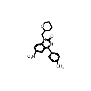 Cc1ccc(-c2nc(=O)n(CC3CCCCO3)c3ccc([N+](=O)[O-])cc23)cc1